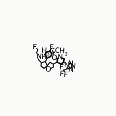 CC(C)Oc1ncc(-n2nnnc2C(F)(F)F)cc1C1COC2(CCC(CNCCF)C2c2ccc(F)cc2)C1